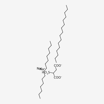 CCCCCCCCCCCCCCCC.CCCCCCCCCCCCCCCC.O=C([O-])CC(C(=O)[O-])S(=O)(=O)O.[Na+].[Na+]